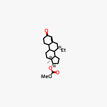 CC[C@H]1CC2=CC(=O)CCC2C2CC[C@@]3(C)C(CC[C@@H]3OC(=O)OC)C21